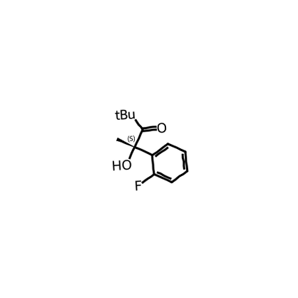 CC(C)(C)C(=O)[C@@](C)(O)c1ccccc1F